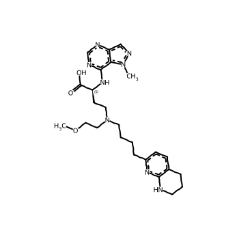 COCCN(CCCCc1ccc2c(n1)NCCC2)CC[C@H](Nc1ncnc2cnn(C)c12)C(=O)O